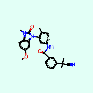 COc1ccc2c(c1)n(-c1cc(NC(=O)c3cccc(C(C)(C)C#N)c3)ccc1C)c(=O)n2C